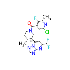 Cc1nc(Cl)cc(C(=O)N2CCC(C)[C@H](c3cc(C(F)F)nc4ncnn34)C2)c1F